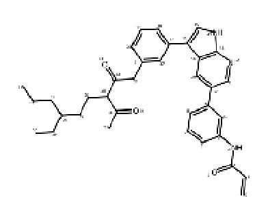 C=CC(=O)Nc1cccc(-c2cnc3[nH]cc(-c4cccc(CC(=O)C(CCC(CC)CCC)C(C)=O)c4)c3c2)c1